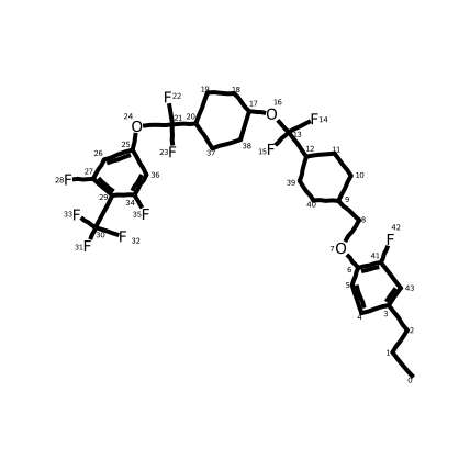 CCCc1ccc(OCC2CCC(C(F)(F)OC3CCC(C(F)(F)Oc4cc(F)c(C(F)(F)F)c(F)c4)CC3)CC2)c(F)c1